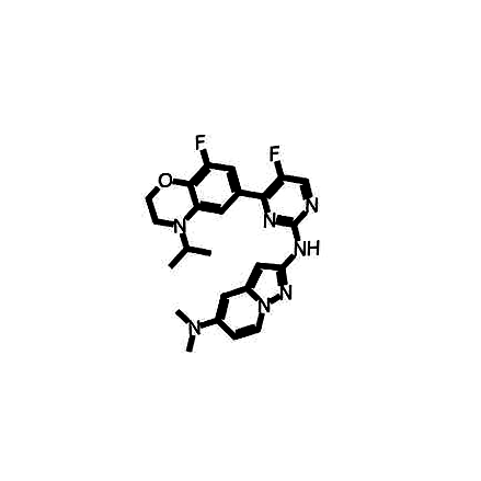 CC(C)N1CCOc2c(F)cc(-c3nc(Nc4cc5cc(N(C)C)ccn5n4)ncc3F)cc21